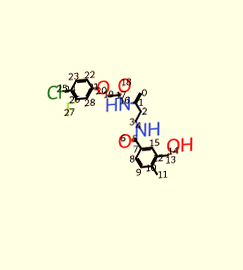 C=C(CCNC(=O)c1ccc(C)c(CO)c1)NC(=O)COc1ccc(Cl)c(F)c1